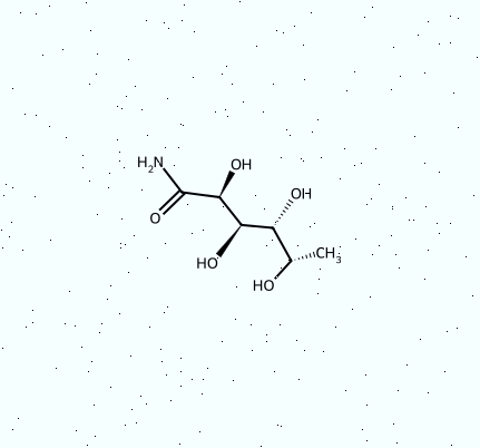 C[C@H](O)[C@@H](O)[C@@H](O)[C@H](O)C(N)=O